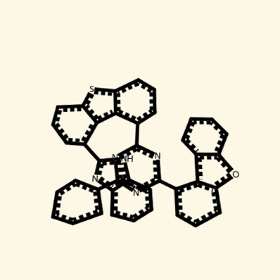 c1ccc(-c2nc(-c3cccc4oc5ccccc5c34)nc(-c3cccc4sc5cccc(-c6nc7ccccc7[nH]6)c5c34)n2)cc1